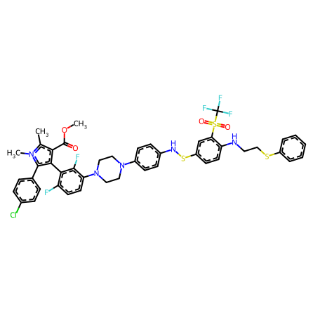 COC(=O)c1c(-c2c(F)ccc(N3CCN(c4ccc(NSc5ccc(NCCSc6ccccc6)c(S(=O)(=O)C(F)(F)F)c5)cc4)CC3)c2F)c(-c2ccc(Cl)cc2)n(C)c1C